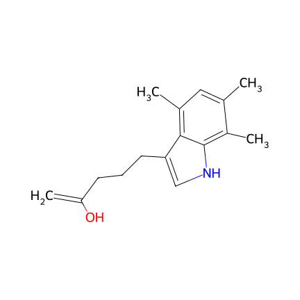 C=C(O)CCCc1c[nH]c2c(C)c(C)cc(C)c12